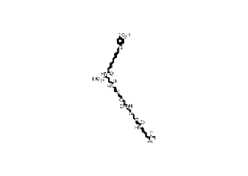 CC(=O)[C@H](CCCCNC(=O)COCCOCCNC(=O)COCCOCCNC(=O)CC[C@H](NC(=O)CCCCCCCCCOc1ccc(C(=O)O)cc1)C(=O)O)NI